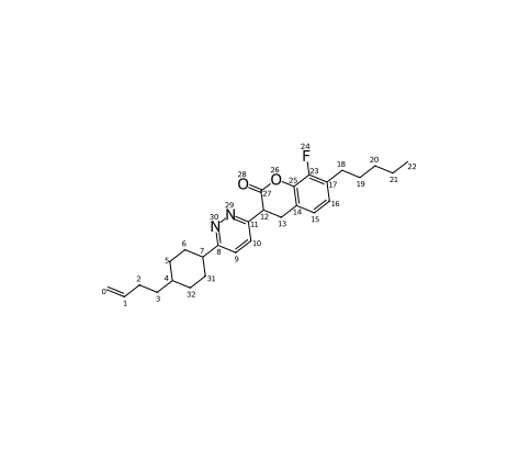 C=CCCC1CCC(c2ccc(C3Cc4ccc(CCCCC)c(F)c4OC3=O)nn2)CC1